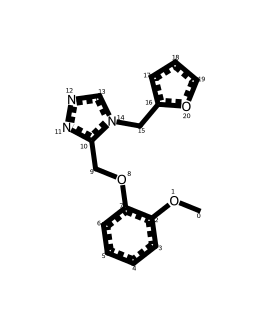 COc1ccccc1OCc1nncn1Cc1ccco1